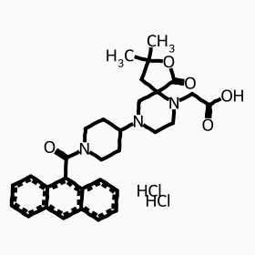 CC1(C)CC2(CN(C3CCN(C(=O)c4c5ccccc5cc5ccccc45)CC3)CCN2CC(=O)O)C(=O)O1.Cl.Cl